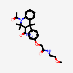 COCCNC(=O)COc1ccc(C2(C)c3c[c]ccc3N(C(C)=O)C(C)(C)C2C(N)=O)cc1